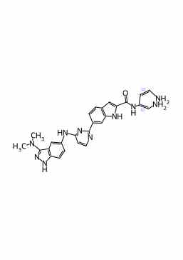 CN(C)c1n[nH]c2ccc(Nc3ccnc(-c4ccc5cc(C(=O)NC(/C=C\N)=C/N)[nH]c5c4)n3)cc12